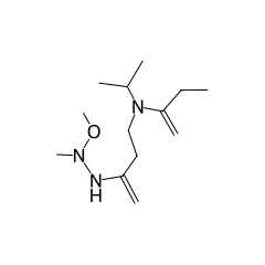 C=C(CCN(C(=C)CC)C(C)C)NN(C)OC